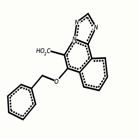 O=C(O)c1c(OCc2ccccc2)c2ccccc2c2ncnn12